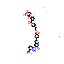 COc1cc2c(cc1Nc1cccc(C(F)(F)F)n1)=CC(C1CCC(COCCC3CCN(C(=O)c4ccc(Cl)c(N5CCC(=O)NC5=O)c4)CC3)(OC)CC1)N=2